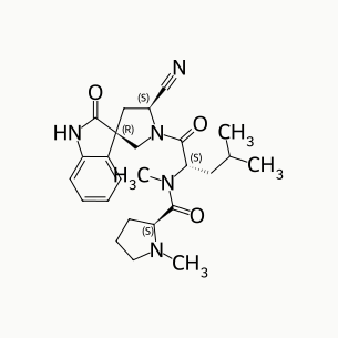 CC(C)C[C@@H](C(=O)N1C[C@]2(C[C@H]1C#N)C(=O)Nc1ccccc12)N(C)C(=O)[C@@H]1CCCN1C